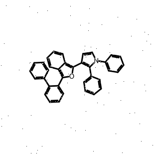 c1ccc(-c2ccccc2-c2oc(-c3ccn(-c4ccccc4)c3-c3ccccc3)c3ccccc23)cc1